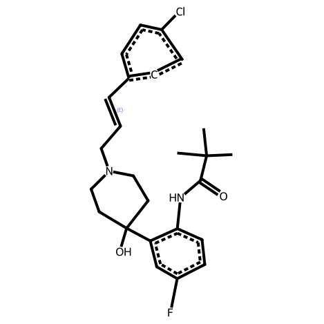 CC(C)(C)C(=O)Nc1ccc(F)cc1C1(O)CCN(C/C=C/c2ccc(Cl)cc2)CC1